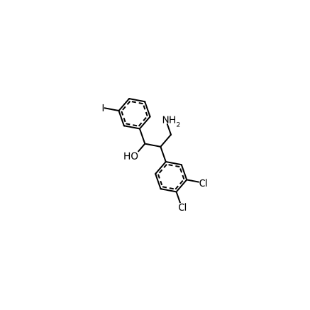 NCC(c1ccc(Cl)c(Cl)c1)C(O)c1cccc(I)c1